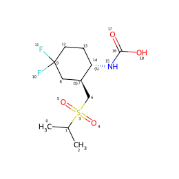 CC(C)S(=O)(=O)C[C@H]1CC(F)(F)CC[C@@H]1NC(=O)O